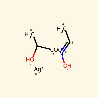 CC(O)C(=O)[O-].CC=NO.[Ag+]